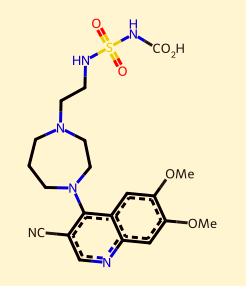 COc1cc2ncc(C#N)c(N3CCCN(CCNS(=O)(=O)NC(=O)O)CC3)c2cc1OC